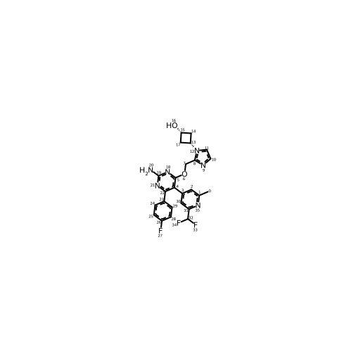 Cc1cc(-c2c(OCc3nccn3[C@H]3C[C@@H](O)C3)nc(N)nc2-c2ccc(F)cc2)cc(C(F)F)n1